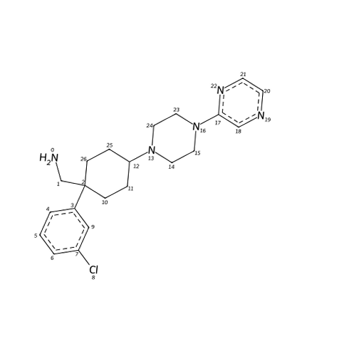 NCC1(c2cccc(Cl)c2)CCC(N2CCN(c3cnccn3)CC2)CC1